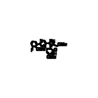 COCc1nnc(-c2cnc(-c3cccc(F)c3OC)cn2)n1-c1ccc(OC)[nH]c1=O